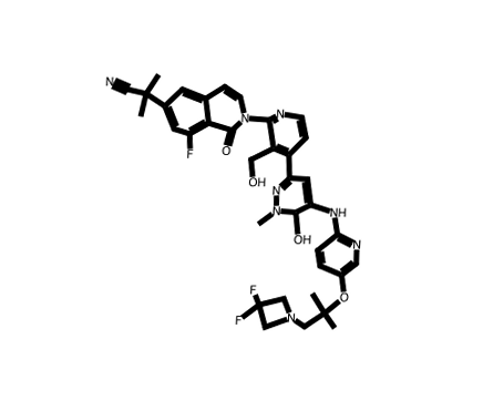 CN1N=C(c2ccnc(-n3ccc4cc(C(C)(C)C#N)cc(F)c4c3=O)c2CO)C=C(Nc2ccc(OC(C)(C)CN3CC(F)(F)C3)cn2)C1O